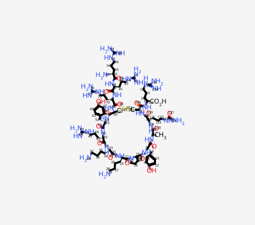 C[C@@H]1NC(=O)[C@H](Cc2ccc(O)cc2)NC(=O)[C@@H]2CCCN2C(=O)[C@@H](CCCCN)NC(=O)[C@H](CCCCN)NC(=O)[C@H](CCCNC(=N)N)NC(=O)[C@H](Cc2ccc(O)cc2)NC(=O)[C@@H](NC(=O)[C@H](CCCNC(=N)N)NC(=O)[C@H](CCCNC(=N)N)NC(=O)[C@@H](N)CCCNC(=N)N)CSSC[C@@H](C(=O)N[C@@H](CCCNC(=N)N)C(=O)O)NC(=O)[C@H](CCCNC(N)=O)NC1=O